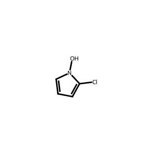 On1cccc1Cl